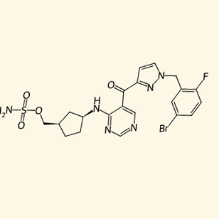 NS(=O)(=O)OC[C@@H]1CC[C@H](Nc2ncncc2C(=O)c2ccn(Cc3cc(Br)ccc3F)n2)C1